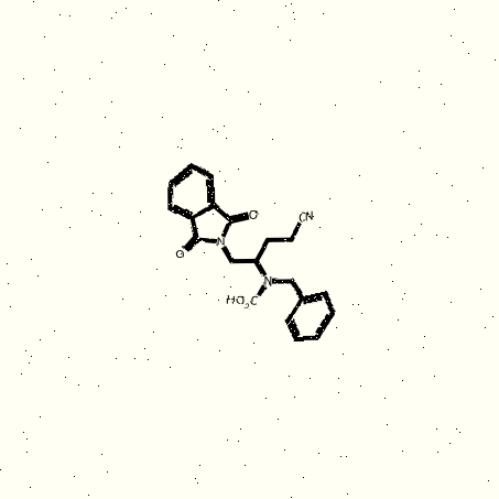 N#CCCC(CN1C(=O)c2ccccc2C1=O)N(Cc1ccccc1)C(=O)O